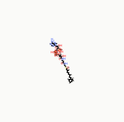 CC1=C(/C=C/C(C)=C/C=C/C(C)=C/C(=O)SCCNC(=O)CCNC(=O)C(O)C(C)(C)COP(=O)(O)OP(=O)(O)OC[C@H]2O[C@@H](n3cnc4c(N)ncnc43)[C@H](O)[C@@H]2OP(=O)(O)O)C(C)(C)CCC1